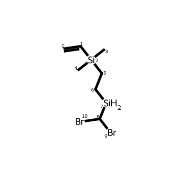 C=C[Si](C)(C)CC[SiH2]C(Br)Br